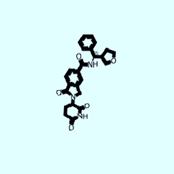 O=C1CCC(N2Cc3cc(C(=O)N[C@H](c4ccccc4)C4CCOC4)ccc3C2=O)C(=O)N1